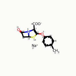 Cc1ccc(OC2=C(C(=O)[O-])N3C(=O)CC3S2)cc1.[Na+]